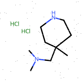 CN(C)CC1(C)CCNCC1.Cl.Cl